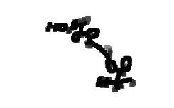 CCC(C)(C)C(=O)OCCOC(=O)CS(=O)(=O)O